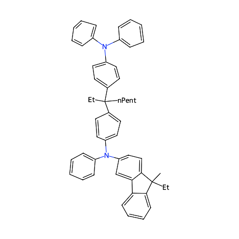 CCCCCC(CC)(c1ccc(N(c2ccccc2)c2ccccc2)cc1)c1ccc(N(c2ccccc2)c2ccc3c(c2)-c2ccccc2C3(C)CC)cc1